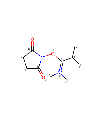 CC(C)C(ON1C(=O)CCC1=O)=[N+](C)C